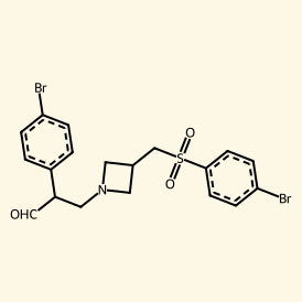 O=CC(CN1CC(CS(=O)(=O)c2ccc(Br)cc2)C1)c1ccc(Br)cc1